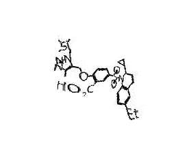 CCc1ccc2c(c1)CCC(C1CC1)N2S(=O)(=O)c1ccc(OCc2c(C)nnn2C[Si](C)(C)C)c(C(=O)O)c1